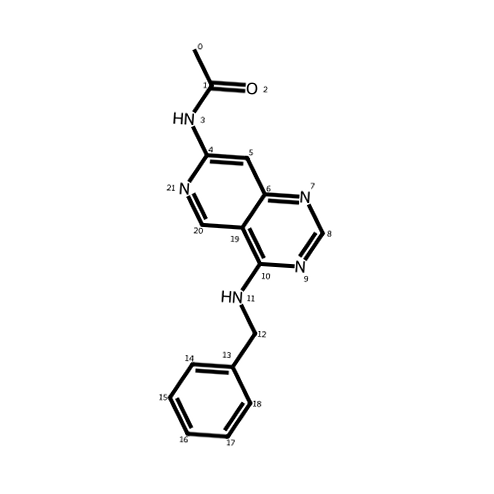 CC(=O)Nc1cc2ncnc(NCc3ccccc3)c2cn1